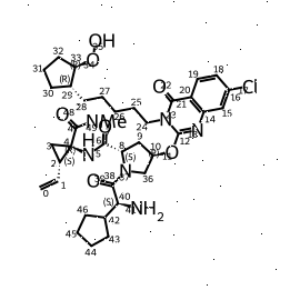 C=C[C@@H]1C[C@]1(NC(=O)[C@@H]1C[C@@H](Oc2nc3cc(Cl)ccc3c(=O)n2CCCCC[C@@H]2CCC[C@H]2OO)CN1C(=O)[C@@H](N)C1CCCC1)C(=O)NC